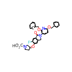 O=C(O)N1CC[C@H](Oc2cc3c(cc2F)C(=O)N(c2ccc(OCc4ccccc4)nc2OCc2ccccc2)C3)C1